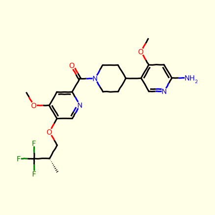 COc1cc(C(=O)N2CCC(c3cnc(N)cc3OC)CC2)ncc1OC[C@H](C)C(F)(F)F